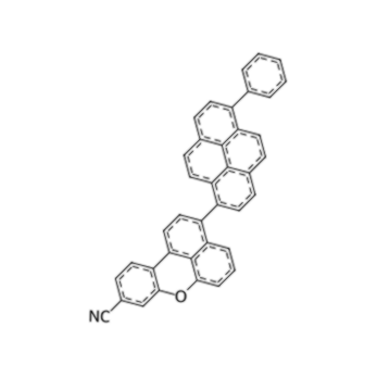 N#Cc1ccc2c(c1)Oc1cccc3c(-c4ccc5ccc6c(-c7ccccc7)ccc7ccc4c5c76)ccc-2c13